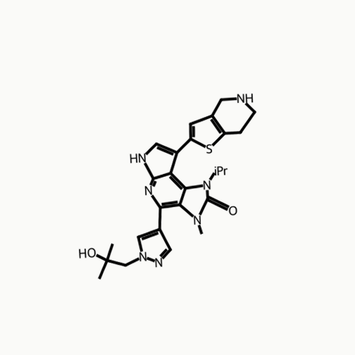 CC(C)n1c(=O)n(C)c2c(-c3cnn(CC(C)(C)O)c3)nc3[nH]cc(-c4cc5c(s4)CCNC5)c3c21